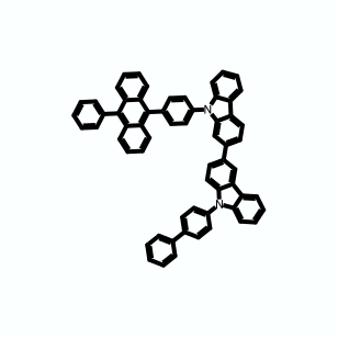 c1ccc(-c2ccc(-n3c4ccccc4c4cc(-c5ccc6c7ccccc7n(-c7ccc(-c8c9ccccc9c(-c9ccccc9)c9ccccc89)cc7)c6c5)ccc43)cc2)cc1